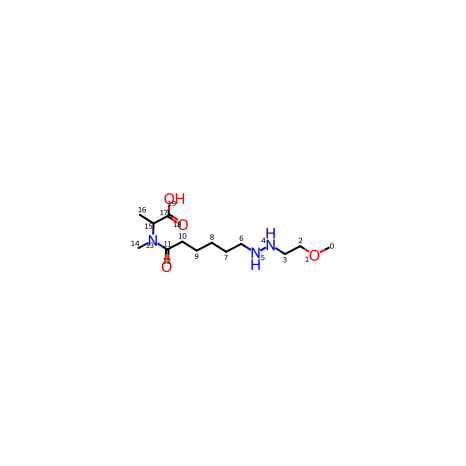 COCCNNCCCCCC(=O)N(C)C(C)C(=O)O